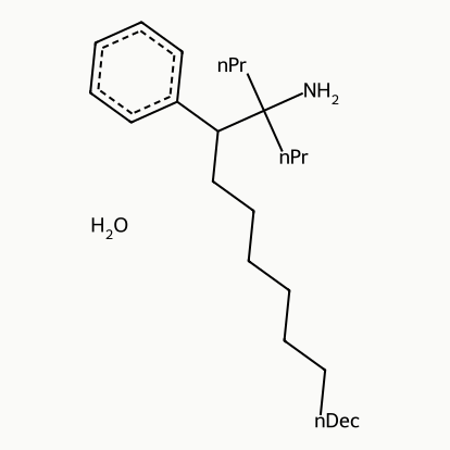 CCCCCCCCCCCCCCCCC(c1ccccc1)C(N)(CCC)CCC.O